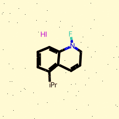 CC(C)c1cccc2c1C=CCN2F.I